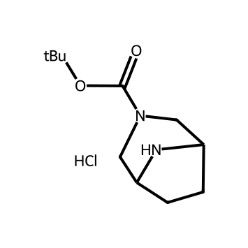 CC(C)(C)OC(=O)N1CC2CCC(C1)N2.Cl